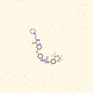 O=C(Nc1ccc(Oc2ccnc(C(=O)NCCN3CCCCC3)c2)cc1)Nc1ccc2c(c1)C(F)(F)OC(F)(F)O2